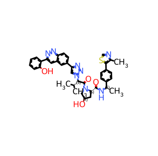 Cc1ncsc1-c1ccc([C@H](C)NC(=O)[C@@H]2C[C@@H](O)CN2C(=O)[C@H](C(C)C)n2cc(-c3ccc4nnc(-c5ccccc5O)cc4c3)nn2)cc1